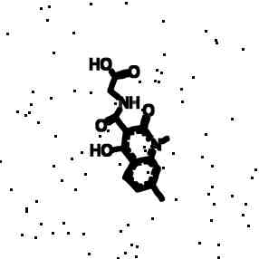 Cc1ccc2c(O)c(C(=O)NCC(=O)O)c(=O)n(C)c2c1